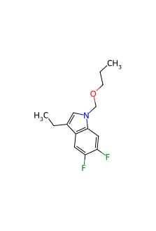 CCCOCn1cc(CC)c2cc(F)c(F)cc21